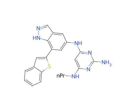 CCCNc1cc(Nc2cc(-c3cc4ccccc4s3)c3[nH]ncc3c2)nc(N)n1